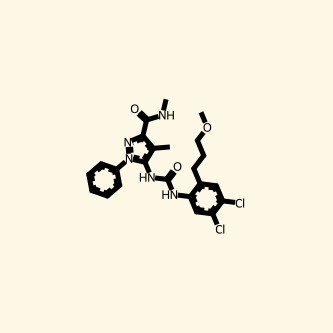 CNC(=O)c1nn(-c2ccccc2)c(NC(=O)Nc2cc(Cl)c(Cl)cc2CCCOC)c1C